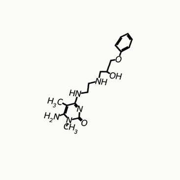 Cc1c(NCCNCC(O)COc2ccccc2)nc(=O)n(C)c1N